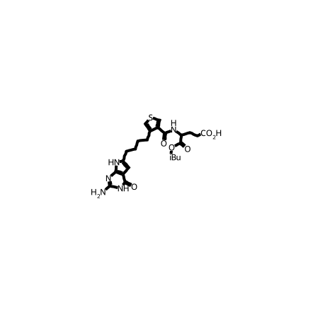 CCC(C)OC(=O)C(CCC(=O)O)NC(=O)c1cscc1CCCCc1cc2c(=O)[nH]c(N)nc2[nH]1